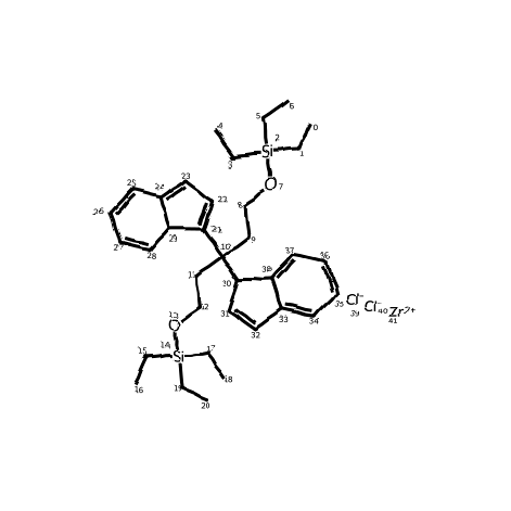 CC[Si](CC)(CC)OCCC(CCO[Si](CC)(CC)CC)(C1=CC=C2C=CC=CC21)C1C=Cc2ccccc21.[Cl-].[Cl-].[Zr+2]